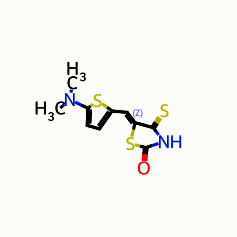 CN(C)c1ccc(/C=C2\SC(=O)NC2=S)s1